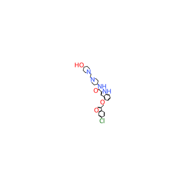 O=C(NC1CCN(CCN2CCC(O)CC2)CC1)c1cc2c(OCc3coc4cc(Cl)ccc34)cccc2[nH]1